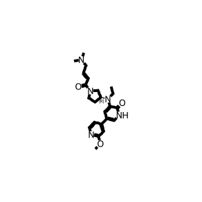 CCN(c1cc(-c2ccnc(OC)c2)c[nH]c1=O)[C@@H]1CCN(C(=O)C=CCN(C)C)C1